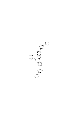 c1ccc(C2Oc3cc(-c4cnc([C@@H]5CCCN5)[nH]4)ccc3-c3cc4cc(-c5cnc([C@@H]6CCCN6)[nH]5)ccc4n32)cc1